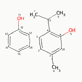 Cc1ccc(C(C)C)c(O)c1.Oc1ccccc1